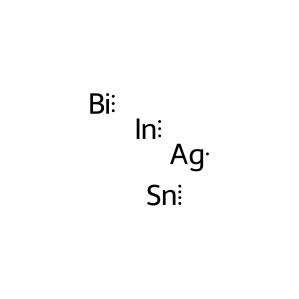 [Ag].[Bi].[In].[Sn]